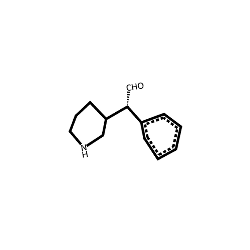 O=C[C@H](c1ccccc1)C1CCCNC1